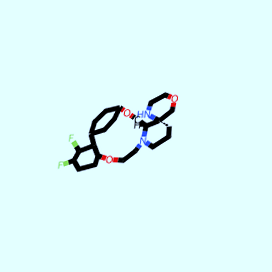 FC1CCC2OCCN3CCC[C@]4(COCCN4)[C@H]3COC3CCC(CC3)C2C1F